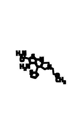 COCCN1Cc2nc3sc(C(N)=O)c(N)c3c(-c3cccs3)c2C1